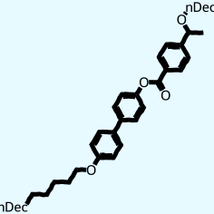 CCCCCCCCCCCCCCCOc1ccc(-c2ccc(OC(=O)c3ccc(C(C)OCCCCCCCCCC)cc3)cc2)cc1